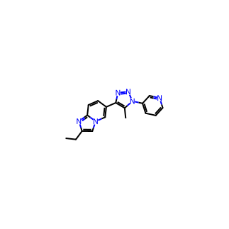 CCc1cn2cc(-c3nnn(-c4cccnc4)c3C)ccc2n1